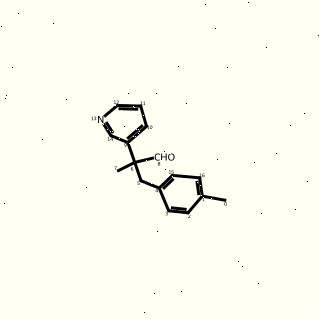 Cc1ccc(CC(C)(C=O)c2cccnc2)cc1